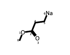 COC(=O)C[CH2][Na]